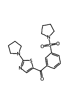 O=C(c1cccc(S(=O)(=O)N2CCCC2)c1)c1cnc(N2CCCC2)s1